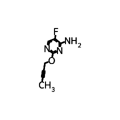 CC#CCOc1ncc(F)c(N)n1